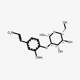 COc1cc(/C=C/[N+](=O)[O-])ccc1O[C@@H]1[C@@H](O)[C@H](O)[C@@H](CO)O[C@H]1O